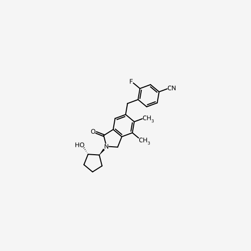 Cc1c(Cc2ccc(C#N)cc2F)cc2c(c1C)CN([C@H]1CCC[C@@H]1O)C2=O